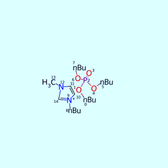 CCCCOP(=O)(OCCCC)OCCCC.CCCC[n+]1ccn(C)c1